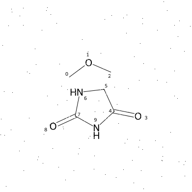 COC.O=C1CNC(=O)N1